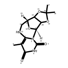 Cc1c2n(c(=O)[nH]c1=O)[C@H]1O[C@H](CN2)C2OC(C)(C)OC21